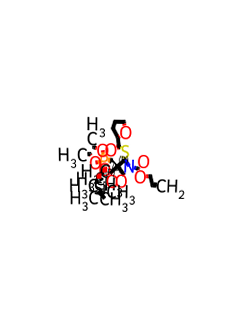 C=CCOC(=O)N1C(=O)[C@](C=P(OCC)(OCC)OCC)([C@@H](C)O[Si](C)(C)C(C)(C)C)[C@H]1SC(=O)C1CCCO1